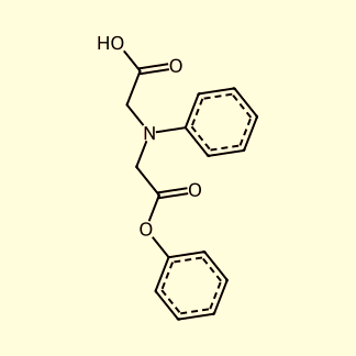 O=C(O)CN(CC(=O)Oc1ccccc1)c1ccccc1